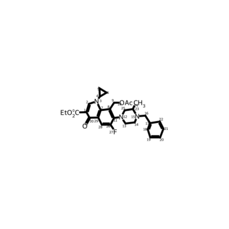 CCOC(=O)c1cn(C2CC2)c2c(COC(C)=O)c(N3CCN(Cc4ccccc4)C(C)C3)c(F)cc2c1=O